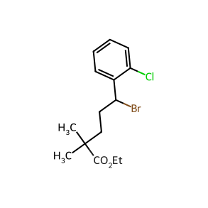 CCOC(=O)C(C)(C)CCC(Br)c1ccccc1Cl